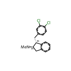 CN[C@@H]1Cc2ccccc2[C@H]1Cc1ccc(Cl)c(Cl)c1